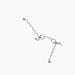 C[N+]1(CCCCCCCCCCBr)CCC(CCCC2CC[N+](C)(CCCCCCCCCCBr)CC2)CC1